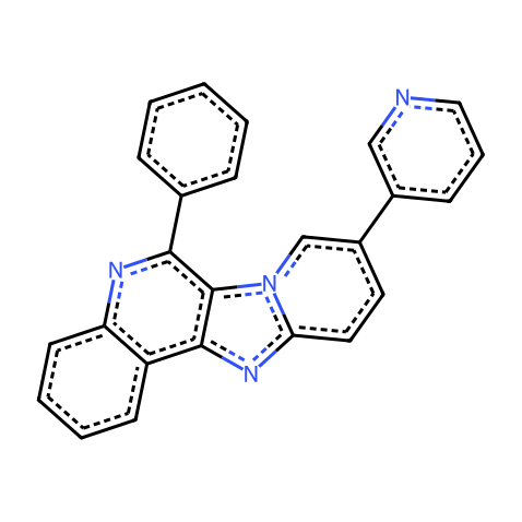 c1ccc(-c2nc3ccccc3c3nc4ccc(-c5cccnc5)cn4c23)cc1